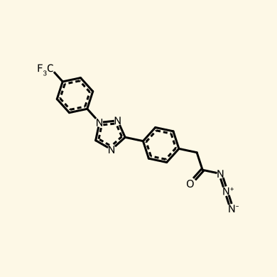 [N-]=[N+]=NC(=O)Cc1ccc(-c2ncn(-c3ccc(C(F)(F)F)cc3)n2)cc1